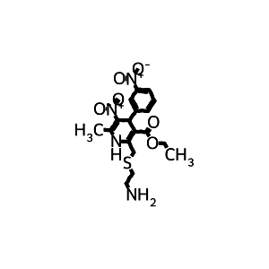 CCOC(=O)C1=C(CSCCN)NC(C)=C([N+](=O)[O-])C1c1cccc([N+](=O)[O-])c1